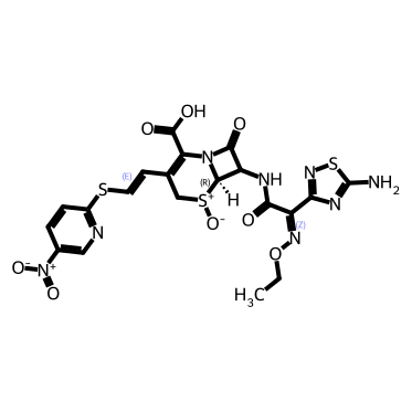 CCO/N=C(\C(=O)NC1C(=O)N2C(C(=O)O)=C(/C=C/Sc3ccc([N+](=O)[O-])cn3)C[S+]([O-])[C@H]12)c1nsc(N)n1